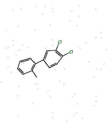 Cc1ccc[c]c1-c1ccc(Cl)c(Cl)c1